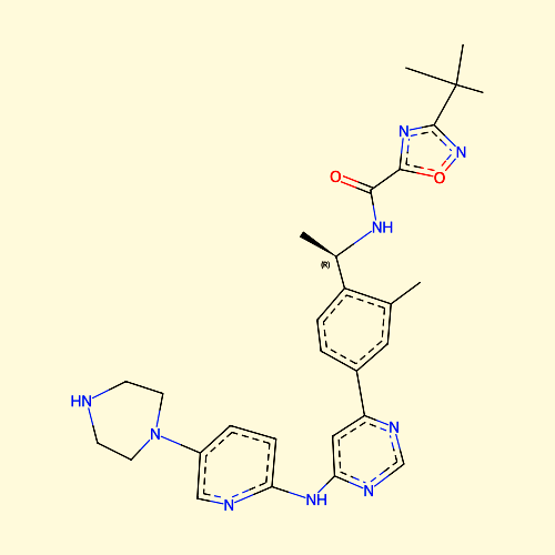 Cc1cc(-c2cc(Nc3ccc(N4CCNCC4)cn3)ncn2)ccc1[C@@H](C)NC(=O)c1nc(C(C)(C)C)no1